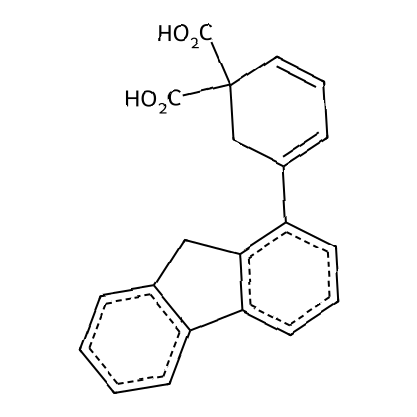 O=C(O)C1(C(=O)O)C=CC=C(c2cccc3c2Cc2ccccc2-3)C1